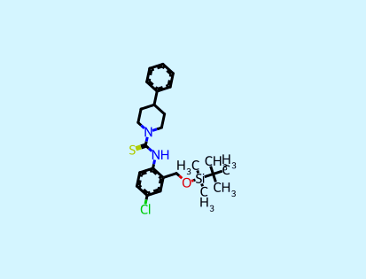 CC(C)(C)[Si](C)(C)OCc1cc(Cl)ccc1NC(=S)N1CCC(c2ccccc2)CC1